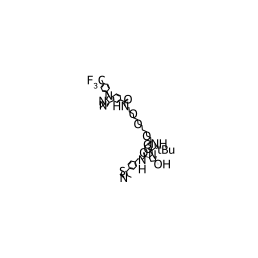 Cc1ncsc1-c1ccc(CNC(=O)[C@@H]2C[C@@H](O)CN2C(=O)[C@@H](NC(=O)COCCCOCCOCCNC(=O)c2ccc3c(c2)c2cn(C)nc2n3-c2ccc(C(F)(F)F)cc2)C(C)(C)C)cc1